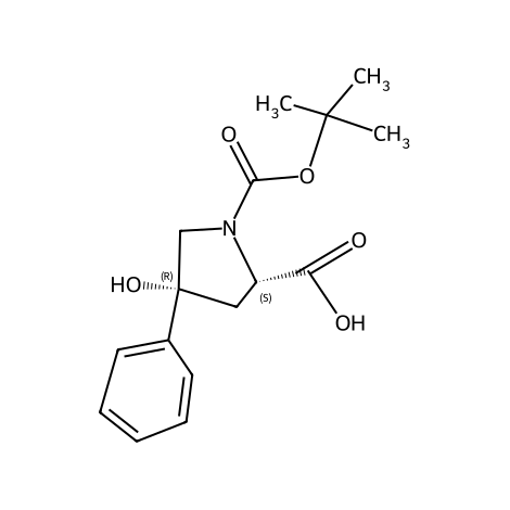 CC(C)(C)OC(=O)N1C[C@](O)(c2ccccc2)C[C@H]1C(=O)O